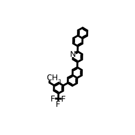 CCc1cc(-c2ccc3ccc(-c4ccc(-c5ccc6ccccc6c5)nc4)cc3c2)cc(C(F)(F)F)c1